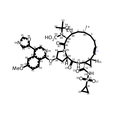 CC[C@@H]1C[C@H](C)CC/C=C\[C@@H]2C[C@@]2(C(=O)NS(=O)(=O)C2CC2)NC(=O)[C@@H]2C[C@@H](Oc3ncc(-c4cnco4)c4cc(OC)ccc34)CN2C(=O)[C@H]1N(C(=O)O)C(C)(C)C(F)(F)F